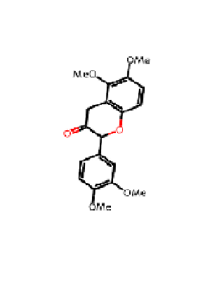 COc1ccc(C2Oc3ccc(OC)c(OC)c3CC2=O)cc1OC